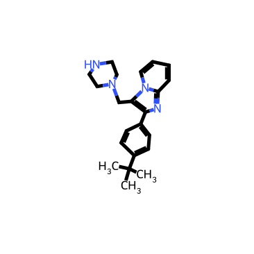 CC(C)(C)c1ccc(-c2nc3ccccn3c2CN2CCNCC2)cc1